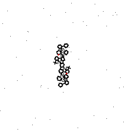 CC(C)(C)c1cccc2c3c(N(c4ccccc4)c4cccc5c4oc4c(-c6ccccc6)cccc45)ccc4c5cc6c(cc5n(c12)c43)c1ccc(N(c2ccccc2)c2cccc3c2oc2c(-c4ccccc4)cccc23)c2c3cccc(C(C)(C)C)c3n6c12